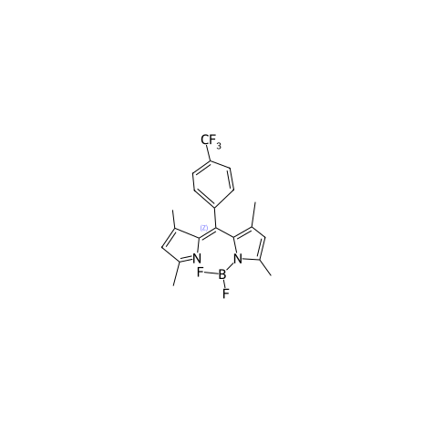 CC1=CC(C)=N/C1=C(/c1ccc(C(F)(F)F)cc1)c1c(C)cc(C)n1B(F)F